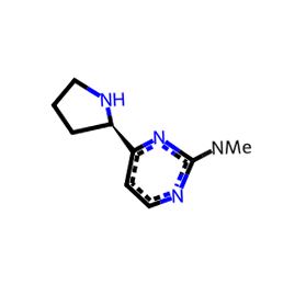 CNc1nccc([C@H]2CCCN2)n1